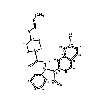 C/C=C/CN1CCN(C(=O)OC2c3ccccc3C(=O)N2c2ccc3ccc(Cl)nc3n2)CC1